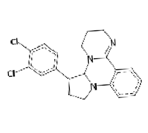 Clc1ccc(C2CCN3c4ccccc4C4=NCCCN4C23)cc1Cl